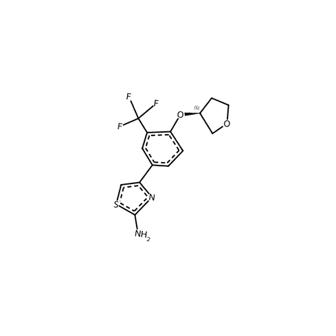 Nc1nc(-c2ccc(O[C@H]3CCOC3)c(C(F)(F)F)c2)cs1